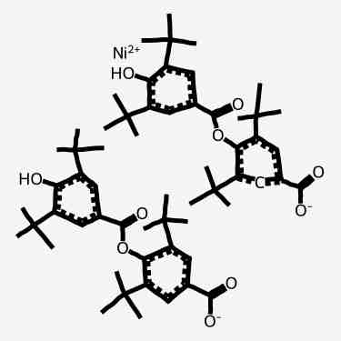 CC(C)(C)c1cc(C(=O)Oc2c(C(C)(C)C)cc(C(=O)[O-])cc2C(C)(C)C)cc(C(C)(C)C)c1O.CC(C)(C)c1cc(C(=O)Oc2c(C(C)(C)C)cc(C(=O)[O-])cc2C(C)(C)C)cc(C(C)(C)C)c1O.[Ni+2]